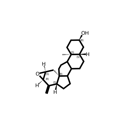 C=C1[C@H]2O[C@H]2C[C@]23CCC4C(CC[C@H]5C[C@H](O)CC[C@]45C)C2CC[C@H]13